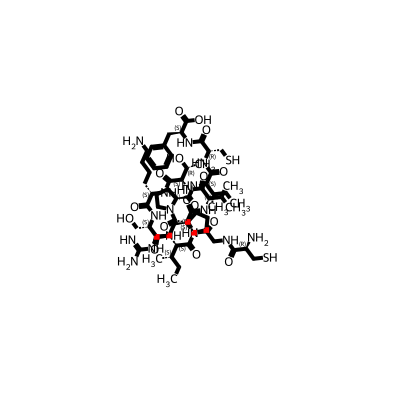 CC[C@H](C)[C@H](NC(=O)[C@@H]1CCCN1C(=O)[C@@H]1CCCN1C(=O)[C@@H](NC(=O)[C@H](CO)NC(=O)[C@H](CCCCN)NC(=O)[C@@H](NC(=O)[C@@H](NC(=O)[C@H](CCCNC(=N)N)NC(=O)CNC(=O)[C@@H](N)CS)C(C)C)[C@@H](C)O)[C@@H](C)CC)C(=O)N[C@@H](CS)C(=O)N[C@@H](Cc1ccccc1)C(=O)O